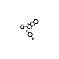 Brc1ccc(Oc2nc3cc4ccccc4cc3nc2-c2cccs2)cc1